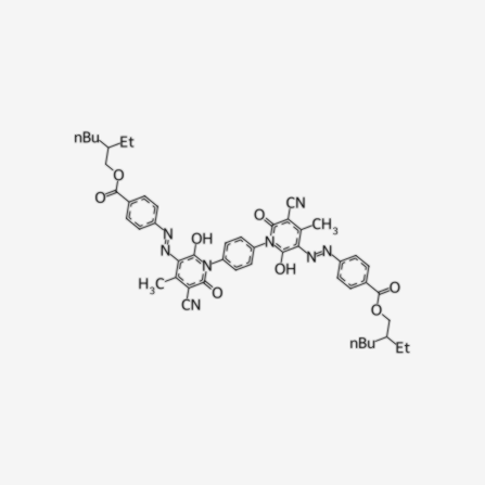 CCCCC(CC)COC(=O)c1ccc(/N=N/c2c(C)c(C#N)c(=O)n(-c3ccc(-n4c(O)c(/N=N/c5ccc(C(=O)OCC(CC)CCCC)cc5)c(C)c(C#N)c4=O)cc3)c2O)cc1